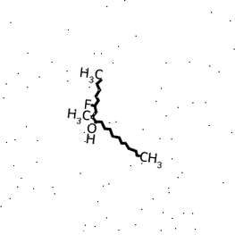 CCCCCCCCCCCC(O)C(C)CC(F)CCCCCC